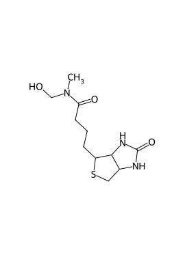 CN(CO)C(=O)CCCC1SCC2NC(=O)NC21